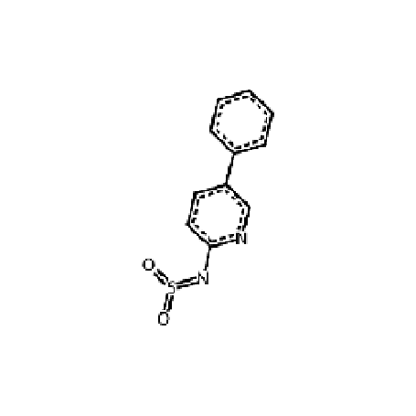 O=S(=O)=Nc1ccc(-c2ccccc2)cn1